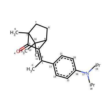 CC(=C1C(=O)C2(C)CCC1C2(C)C)c1ccc(N(C(C)C)C(C)C)cc1